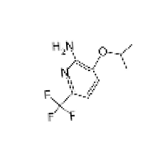 CC(C)Oc1ccc(C(F)(F)F)nc1N